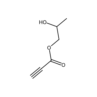 C#CC(=O)OCC(C)O